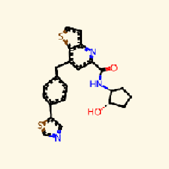 O=C(N[C@H]1CCC[C@@H]1O)c1cc(Cc2ccc(-c3cncs3)cc2)c2sccc2n1